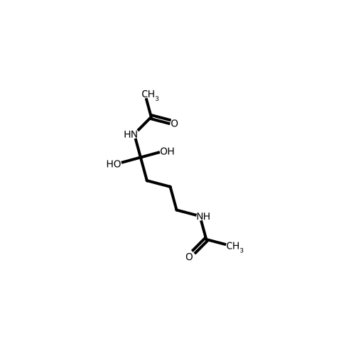 CC(=O)NCCCC(O)(O)NC(C)=O